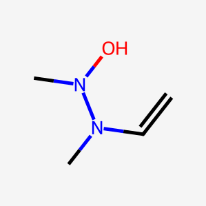 C=CN(C)N(C)O